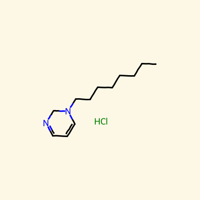 CCCCCCCCN1C=CC=NC1.Cl